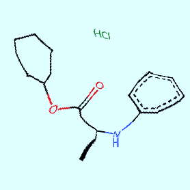 C[C@H](Nc1ccccc1)C(=O)OC1CCCC1.Cl